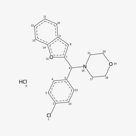 Cl.Clc1ccc(C(c2cc3ccccc3o2)N2CCOCC2)cc1